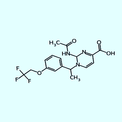 CC(=O)NC1N=C(C(=O)O)C=CN1C(C)c1cccc(OCC(F)(F)F)c1